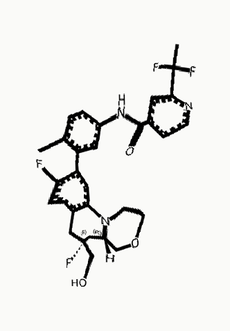 Cc1ccc(NC(=O)c2ccnc(C(C)(F)F)c2)cc1-c1cc2c(cc1F)C[C@](F)(CO)[C@H]1COCCN21